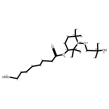 CCCCCCCCCCCCCCCCCC(=O)OC1CCC(C)(C)N(OCC(C)(C)O)C1(C)C